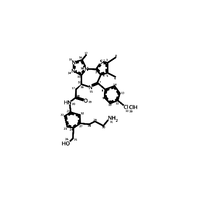 Cc1sc2c(c1C)C(c1ccc(Cl)cc1)=N[C@@H](CC(=O)Nc1ccc(CO)c(CCCN)c1)c1nnc(C)n1-2.Cl